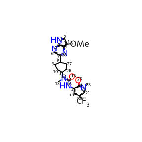 COc1c[nH]c2ncc(C3CCC(N(C)C(=O)Nc4cc(C(F)(F)F)cn(C)c4=O)CC3)nc12